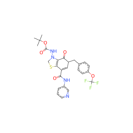 CC(C)(C)OC(=O)NN1CSC2=C1C(=O)C(Cc1ccc(OC(F)(F)F)cc1)C=C2C(=O)Nc1cccnc1